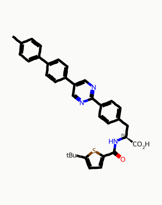 Cc1ccc(-c2ccc(-c3cnc(-c4ccc(C[C@H](NC(=O)c5ccc(C(C)(C)C)s5)C(=O)O)cc4)nc3)cc2)cc1